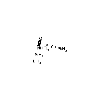 [BiH3].[CaH2].[Cu].[O]=[BiH].[PbH2].[SrH2]